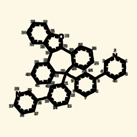 c1cncc(-c2cccc(C3(c4cccc(-c5cccnc5)c4)c4ccccc4-c4oc5ccccc5c4-c4ccccc43)c2)c1